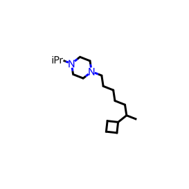 CC(CCCCCN1CCN(C(C)C)CC1)C1CCC1